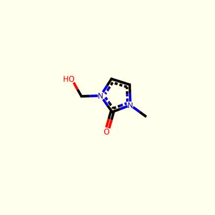 Cn1ccn(CO)c1=O